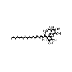 CCCCCCCCCCCCCCCCNC(=O)[C@H](O)[C@@H](O)[C@H](O[C@@H]1OC(CO)[C@H](O)C(O)C1O)[C@H](O)CO